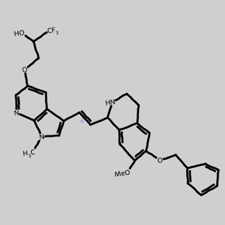 COc1cc2c(cc1OCc1ccccc1)CCNC2/C=C/c1cn(C)c2ncc(OCC(O)C(F)(F)F)cc12